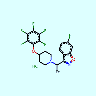 CCC(c1noc2cc(F)ccc12)N1CCC(Oc2c(F)c(F)c(F)c(F)c2F)CC1.Cl